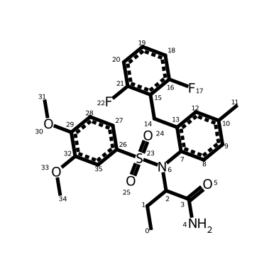 CCC(C(N)=O)N(c1ccc(C)cc1Cc1c(F)cccc1F)S(=O)(=O)c1ccc(OC)c(OC)c1